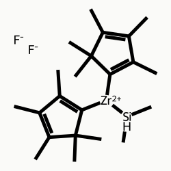 CC1=C(C)C(C)(C)[C]([Zr+2]([C]2=C(C)C(C)=C(C)C2(C)C)[SiH](C)C)=C1C.[F-].[F-]